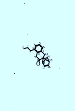 CCCc1cccc2c1CC(=O)C1(C2)CC2C=CC1C2